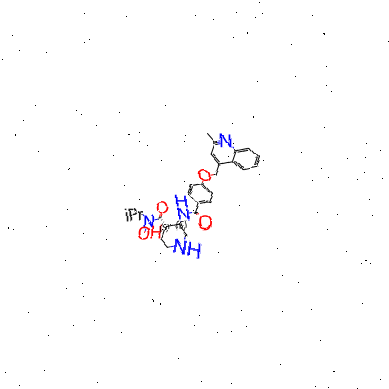 Cc1cc(COc2ccc(C(=O)N[C@@H]3CNCC[C@@H]3C(=O)N(O)C(C)C)cc2)c2ccccc2n1